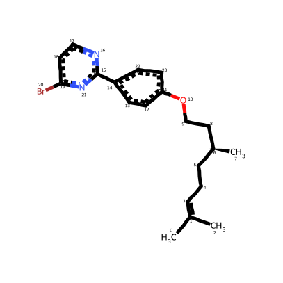 CC(C)=CCC[C@H](C)CCOc1ccc(-c2nccc(Br)n2)cc1